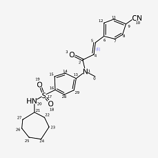 CN(C(=O)/C=C/c1ccc(C#N)cc1)c1ccc(S(=O)(=O)NC2CCCCCC2)cc1